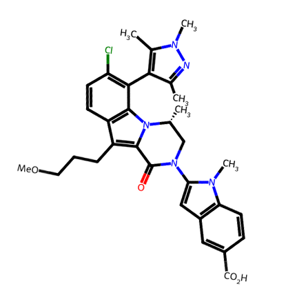 COCCCc1c2n(c3c(-c4c(C)nn(C)c4C)c(Cl)ccc13)[C@H](C)CN(c1cc3cc(C(=O)O)ccc3n1C)C2=O